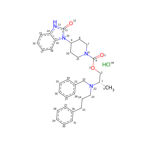 C[C@@H](COC(=O)N1CCC(n2c(=O)[nH]c3ccccc32)CC1)N(CCCc1ccccc1)Cc1ccccc1.Cl